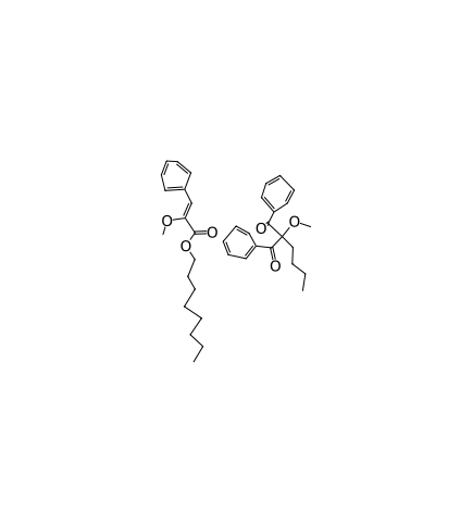 CCCCC(OC)(C(=O)c1ccccc1)C(=O)c1ccccc1.CCCCCCCCOC(=O)C(=Cc1ccccc1)OC